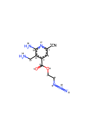 N#Cc1cc(C(=O)OCCN=[N+]=[N-])c(CN)c(N)n1